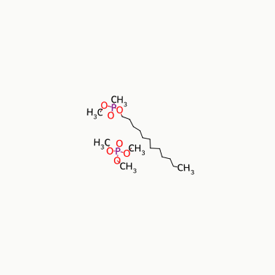 CCCCCCCCCCCCOP(C)(=O)OC.COP(=O)(OC)OC